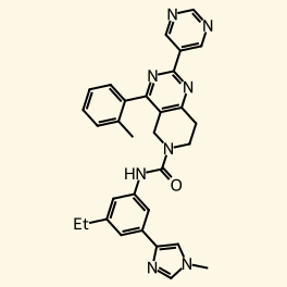 CCc1cc(NC(=O)N2CCc3nc(-c4cncnc4)nc(-c4ccccc4C)c3C2)cc(-c2cn(C)cn2)c1